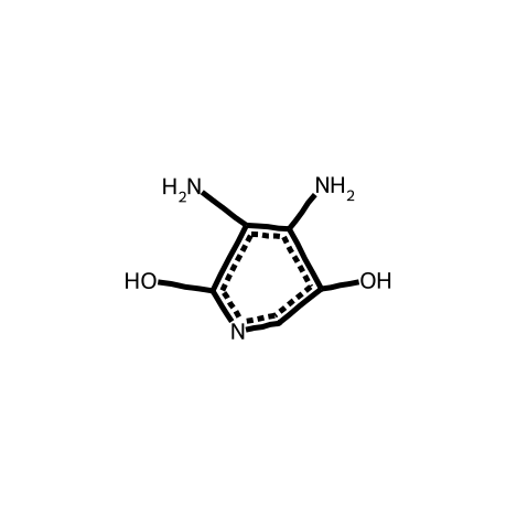 Nc1c(O)cnc(O)c1N